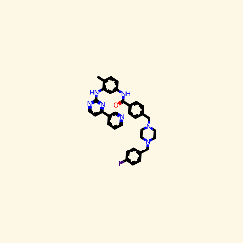 Cc1ccc(NC(=O)c2ccc(CN3CCN(Cc4ccc(I)cc4)CC3)cc2)cc1Nc1nccc(-c2cccnc2)n1